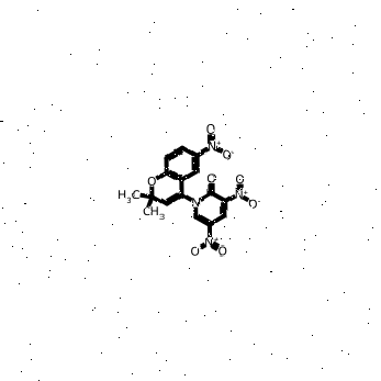 CC1(C)C=C(n2cc([N+](=O)[O-])cc([N+](=O)[O-])c2=O)c2cc([N+](=O)[O-])ccc2O1